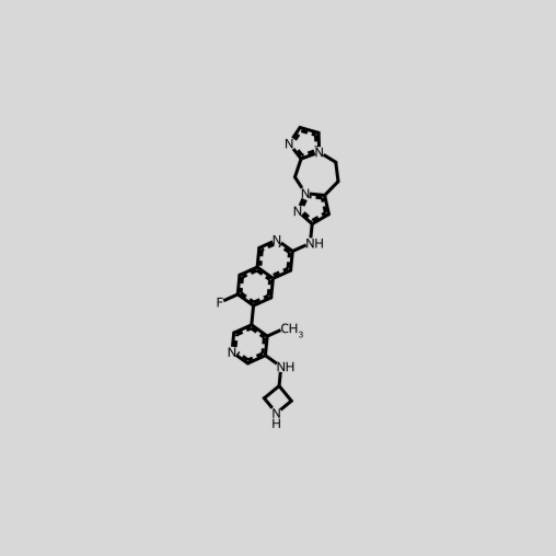 Cc1c(NC2CNC2)cncc1-c1cc2cc(Nc3cc4n(n3)Cc3nccn3CC4)ncc2cc1F